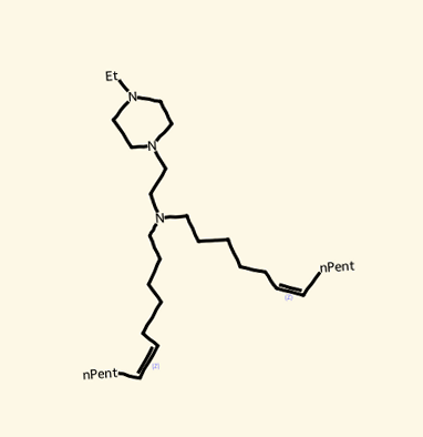 [CH2]CN1CCN(CCN(CCCCC/C=C\CCCCC)CCCCC/C=C\CCCCC)CC1